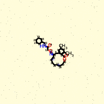 Cc1cc(C)c2c(c1)CC(=NOCC(=O)NCC1CCCCC1)/C=C/CC/C=C/CCOC2=O